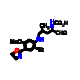 CCc1cc(-c2ncco2)c(OC)cc1NCC(C)CC(C=O)NC(=O)O